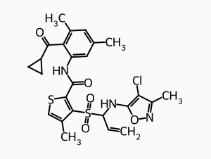 C=CC(Nc1onc(C)c1Cl)S(=O)(=O)c1c(C)csc1C(=O)Nc1cc(C)cc(C)c1C(=O)C1CC1